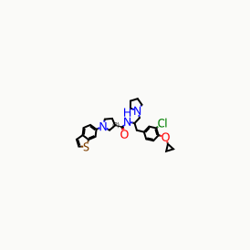 O=C(NC(Cc1ccc(OC2CC2)c(Cl)c1)CN1CCCC1)[C@@H]1CCN(c2ccc3ccsc3c2)C1